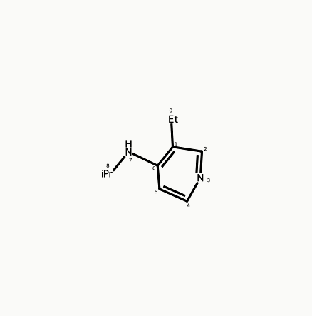 CCc1cnccc1NC(C)C